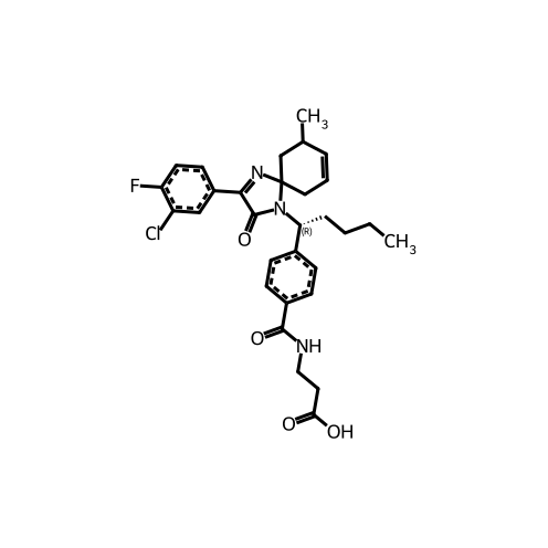 CCCC[C@H](c1ccc(C(=O)NCCC(=O)O)cc1)N1C(=O)C(c2ccc(F)c(Cl)c2)=NC12CC=CC(C)C2